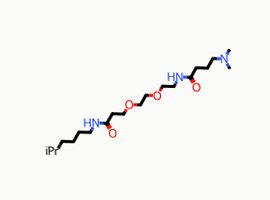 CC(C)CCCCNC(=O)CCOCCOCCNC(=O)CCCN(C)C